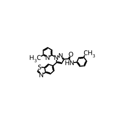 Cc1cccc(NC(=O)c2cc(-c3ccc4ncsc4c3)n(-c3cccc(C)n3)n2)c1